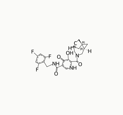 O=C(NCc1c(F)cc(F)cc1F)c1c[nH]c(C(=O)N2C[C@@H]3CC[C@@]4(C3)C[C@H]4C2)c(O)c1=O